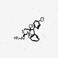 CCC/N=C1\SCC(O)(C(c2ccccc2)c2ccc(Cl)cc2)N1CC